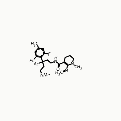 C=NC1=C(C(=O)NCCC(CCNC)(C(C)=O)c2c(F)cc(C)cc2CC)CCCN1C